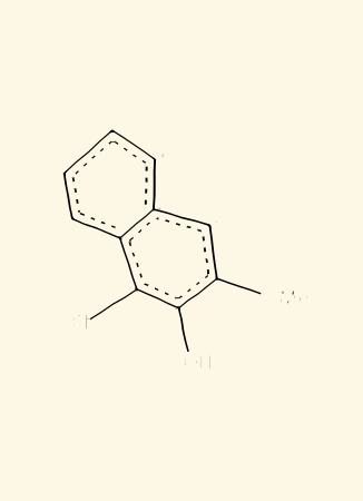 COc1cc2ccccc2c(Cl)c1O